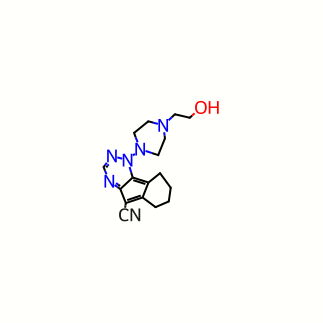 N#Cc1c2ncnn(N3CCN(CCO)CC3)c-2c2c1CCCC2